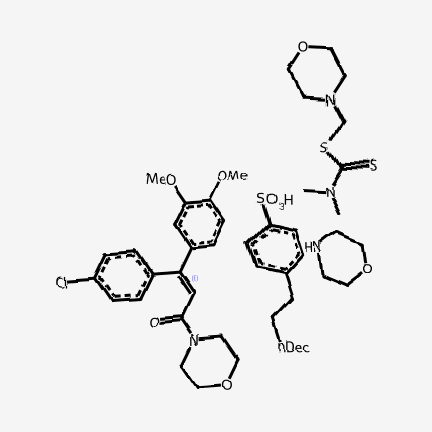 C1COCCN1.CCCCCCCCCCCCc1ccc(S(=O)(=O)O)cc1.CN(C)C(=S)SCN1CCOCC1.COc1ccc(/C(=C/C(=O)N2CCOCC2)c2ccc(Cl)cc2)cc1OC